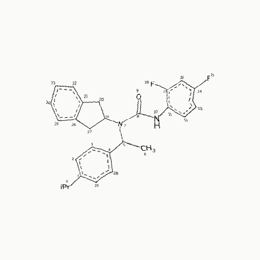 CC(C)c1ccc(C(C)N(C(=O)Nc2ccc(F)cc2F)C2Cc3ccccc3C2)cc1